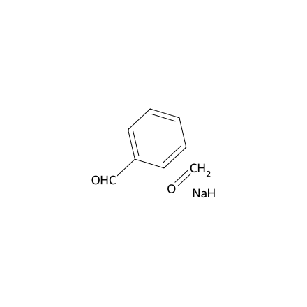 C=O.O=Cc1ccccc1.[NaH]